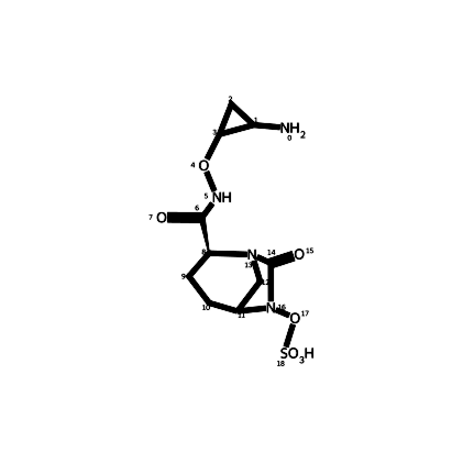 NC1CC1ONC(=O)[C@@H]1CCC2CN1C(=O)N2OS(=O)(=O)O